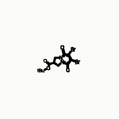 CC(C)(C)OC(=O)C1Cn2c(=O)c(Br)c(Br)c(=O)n2C1